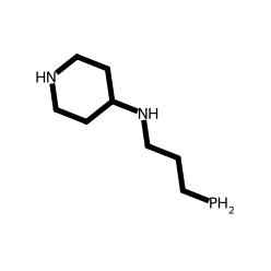 PCCCNC1CCNCC1